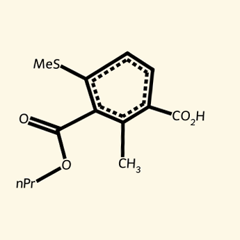 CCCOC(=O)c1c(SC)ccc(C(=O)O)c1C